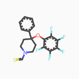 Fc1c(F)c(F)c(OC2(c3ccccc3)CCN(C=S)CC2)c(F)c1F